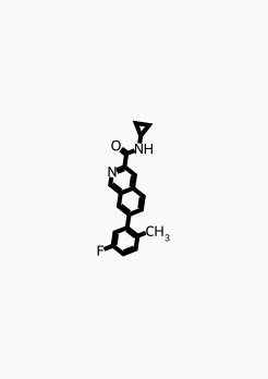 Cc1ccc(F)cc1-c1ccc2cc(C(=O)NC3CC3)ncc2c1